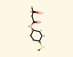 CSC1CCC(OC(=O)CC(C)=O)CC1